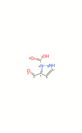 O=CO.O=Cc1cc[nH]n1